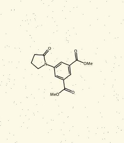 COC(=O)c1cc(C(=O)OC)cc(N2CCCC2=O)c1